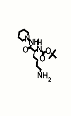 CC(C)(C)OC(=O)N[C@@H](CCCCN)C(=O)NN1CCCCC1